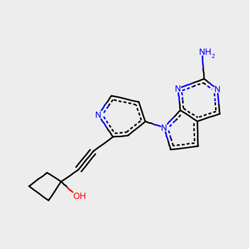 Nc1ncc2ccn(-c3ccnc(C#CC4(O)CCC4)c3)c2n1